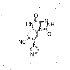 N#Cc1cc2[nH]c(=O)c3n[nH]c(=O)n3c2cc1-n1ccnc1